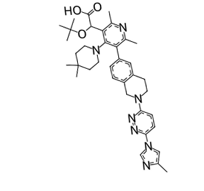 Cc1cn(-c2ccc(N3CCc4cc(-c5c(C)nc(C)c(C(OC(C)(C)C)C(=O)O)c5N5CCC(C)(C)CC5)ccc4C3)nn2)cn1